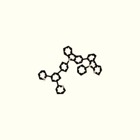 c1ccc(-n2c3ncccc3c3cccc(-c4ccc5c(c4)c4ccccc4n5-c4ccc(-c5cc(-c6ccccn6)cc(-c6ccccn6)c5)cc4)c32)cc1